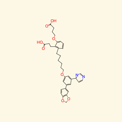 O=C(O)CCCOc1cccc(CCCCCCOc2cc(-c3ccc4c(c3)OCO4)cc(-c3ccncn3)c2)c1CCC(=O)O